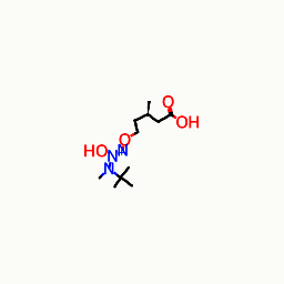 C[C@H](CCO/N=[N+](\O)N(C)C(C)(C)C)CC(=O)O